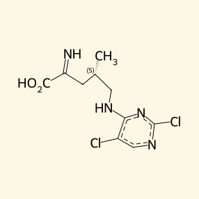 C[C@H](CNc1nc(Cl)ncc1Cl)CC(=N)C(=O)O